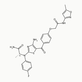 Cc1cc(NC(=O)COc2ccc(C(=O)c3sc(N(c4ccc(F)cc4)[C@H](C)C(N)=O)nc3N)cc2)no1